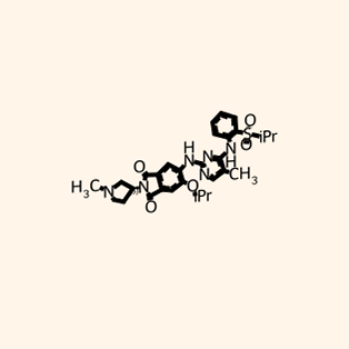 Cc1cnc(Nc2cc3c(cc2OC(C)C)C(=O)N([C@H]2CCN(C)C2)C3=O)nc1Nc1ccccc1S(=O)(=O)C(C)C